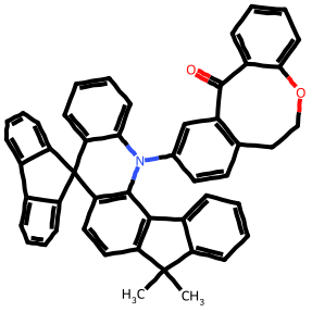 CC1(C)c2ccccc2-c2c1ccc1c2N(c2ccc3c(c2)C(=O)c2ccccc2OCC3)c2ccccc2C12c1ccccc1-c1ccccc12